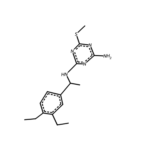 CCc1ccc(C(C)Nc2nc(N)nc(SC)n2)cc1CC